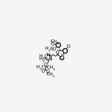 C=NN(CC[C@H]1O[C@H](c2cccc(OC)c2OC)c2cc(Cl)ccc2-n2cccc21)/N=C(\N)COC(C)(C)C(=O)OC